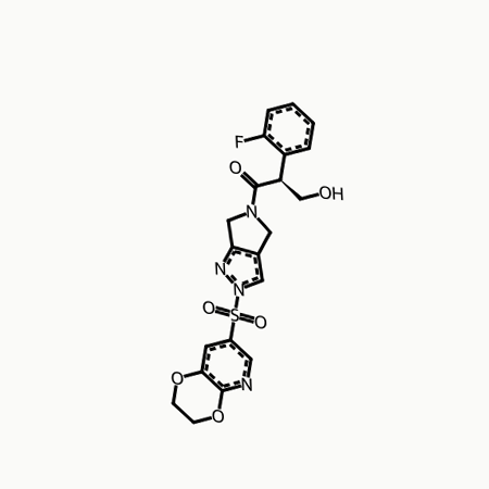 O=C([C@H](CO)c1ccccc1F)N1Cc2cn(S(=O)(=O)c3cnc4c(c3)OCCO4)nc2C1